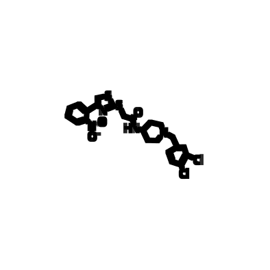 O=C(CSc1nc(-c2ccccc2[N+](=O)[O-])cs1)NC1CCN(Cc2ccc(Cl)c(Cl)c2)CC1